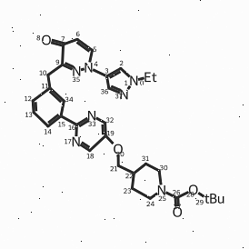 CCn1cc(-n2ccc(=O)c(Cc3cccc(-c4ncc(OCC5CCN(C(=O)OC(C)(C)C)CC5)cn4)c3)n2)cn1